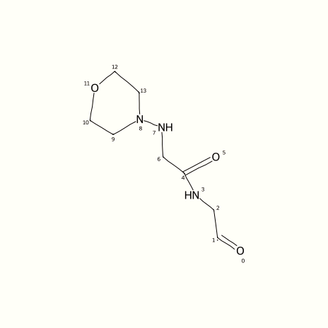 O=[C]CNC(=O)CNN1CCOCC1